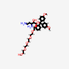 COc1ccc(C(OC(OCCOCCOCCOCCOCCO)C(O)C(N)CCN)(c2ccccc2)c2ccc(OC)cc2)cc1